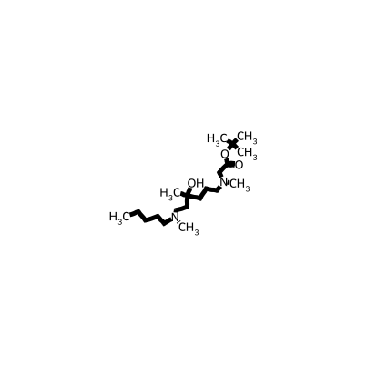 CCCCCN(C)CCC(C)(O)CCCN(C)CC(=O)OC(C)(C)C